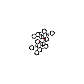 c1ccc(N(c2ccccc2)c2c3ccccc3cc3c4cccc5c6nc7c(cc6n(c23)c45)c2c3ccccc3cc3c4cccc(N(c5ccccc5)c5ccccc5)c4n7c32)cc1